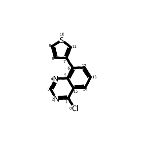 Clc1ncnc2c(-c3ccsc3)cccc12